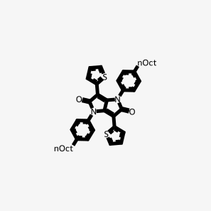 CCCCCCCCc1ccc(N2C(=O)C(c3cccs3)=C3C2=C(c2cccs2)C(=O)N3c2ccc(CCCCCCCC)cc2)cc1